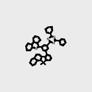 CC1(C)c2cccc(-c3cc(-c4nc(-c5ccccc5)nc(-c5ccccc5)n4)cc(-c4nc5ccccc5c5ccccc45)c3)c2-c2ccc3ccccc3c21